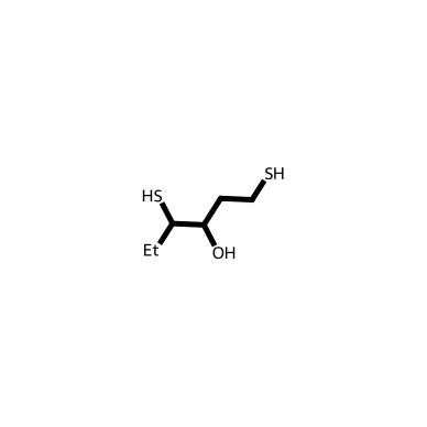 CCC(S)C(O)CCS